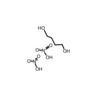 O=[N+]([O-])O.O=[N+]([O-])O.OCCCCO